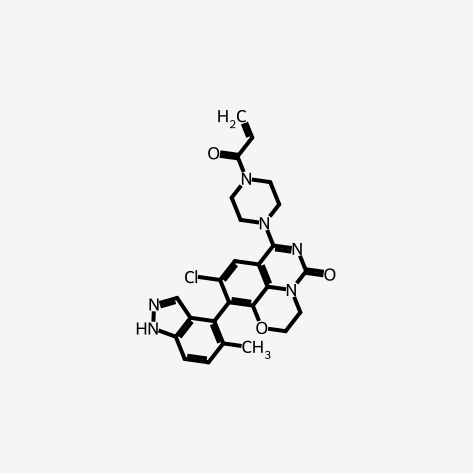 C=CC(=O)N1CCN(c2nc(=O)n3c4c(c(-c5c(C)ccc6[nH]ncc56)c(Cl)cc24)OCC3)CC1